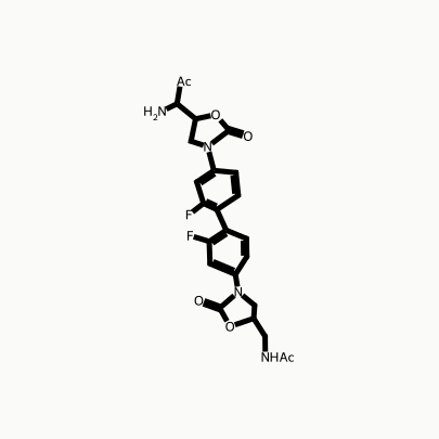 CC(=O)NCC1CN(c2ccc(-c3ccc(N4CC(C(N)C(C)=O)OC4=O)cc3F)c(F)c2)C(=O)O1